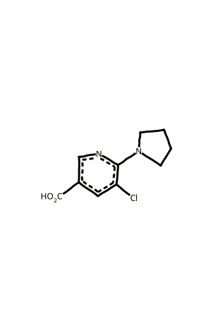 O=C(O)c1cnc(N2CCCC2)c(Cl)c1